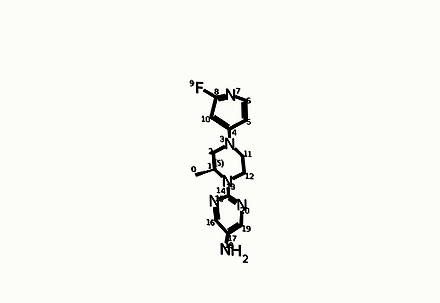 C[C@H]1CN(c2ccnc(F)c2)CCN1c1ncc(N)cn1